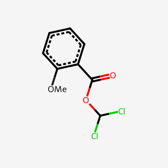 COc1ccccc1C(=O)OC(Cl)Cl